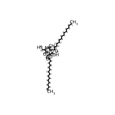 CCCCCCCCCCCCCCCC(=O)OC(O)[C@]([C]=O)(OC(=O)CCCCCCCCCCCCCCC)N(CCC)C(=O)[C@@H](N)CS